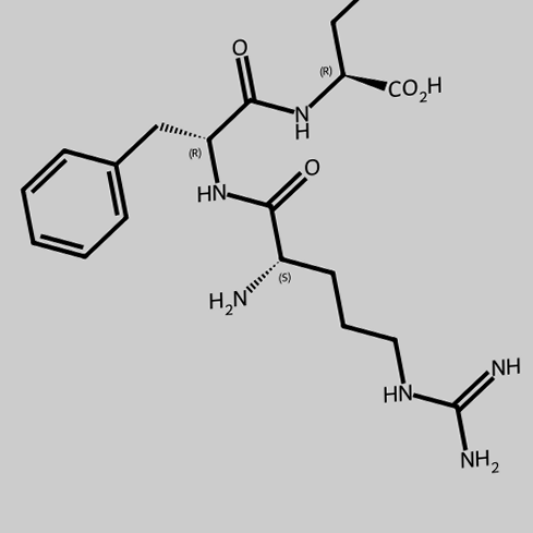 N=C(N)NCCC[C@H](N)C(=O)N[C@H](Cc1ccccc1)C(=O)N[C@@H](CS)C(=O)O